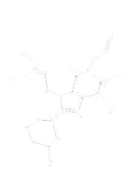 C=CCn1c(=O)c2c(nc(N3CCCC(N)C3)n2CC=C(C)C)n(C)c1=O